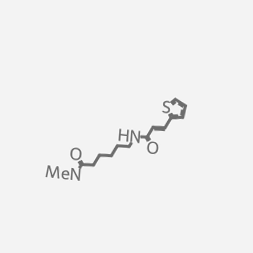 CNC(=O)CCCCCNC(=O)/C=C/c1cccs1